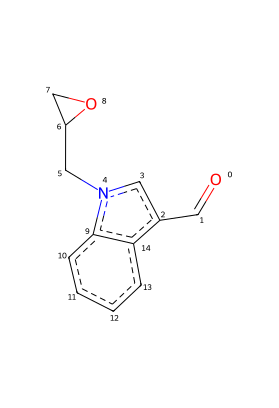 O=Cc1cn(CC2CO2)c2ccccc12